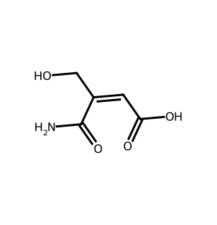 NC(=O)C(=CC(=O)O)CO